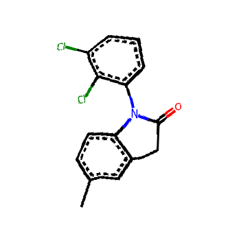 Cc1ccc2c(c1)CC(=O)N2c1cccc(Cl)c1Cl